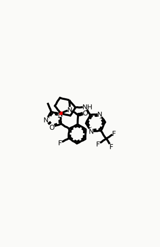 Cc1noc(-c2c(F)cccc2C(=O)N2C3CCC2C(Nc2cnc(C(F)(F)F)cn2)C3)n1